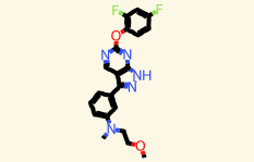 COCCN(C)c1cccc(-c2n[nH]c3nc(Oc4ccc(F)cc4F)ncc23)c1